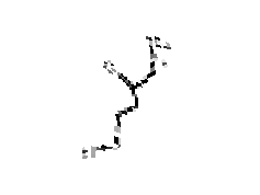 CCCCOC(=O)CCSCC